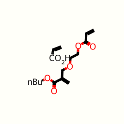 C=CC(=O)O.C=CC(=O)OCCOCC(=C)C(=O)OCCCC